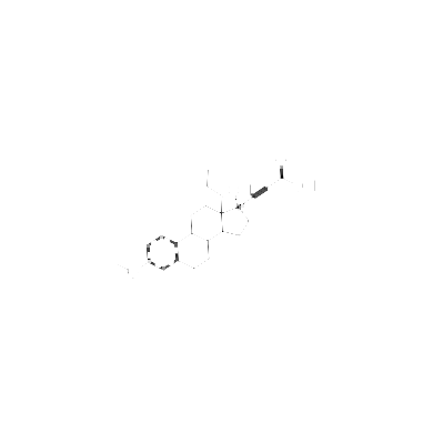 CCCC12CCC3c4ccc(OC)cc4CCC3C1CC[C@@]2(O)C#CC(=O)O